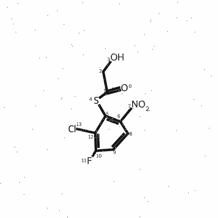 O=C(CO)Sc1c([N+](=O)[O-])ccc(F)c1Cl